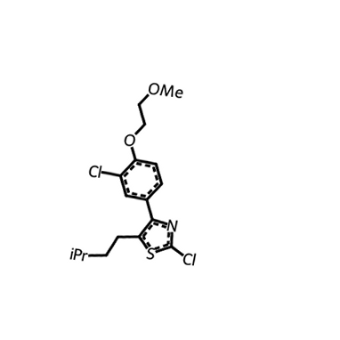 COCCOc1ccc(-c2nc(Cl)sc2CCC(C)C)cc1Cl